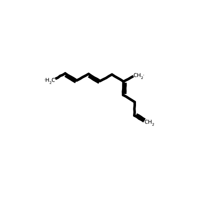 [CH2]C=CC=CCC([CH2])=CCC=C